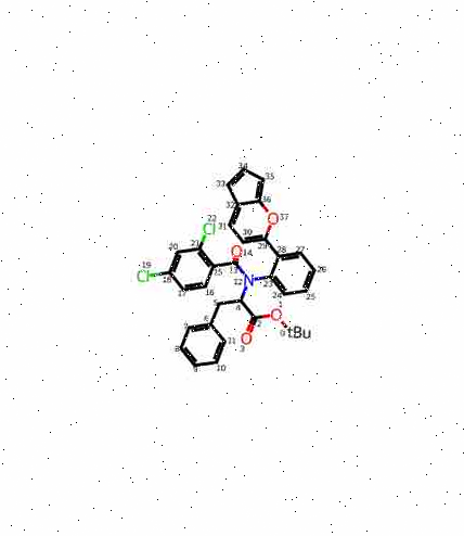 CC(C)(C)OC(=O)C(Cc1ccccc1)N(C(=O)c1ccc(Cl)cc1Cl)c1ccccc1-c1ccc2cccc-2o1